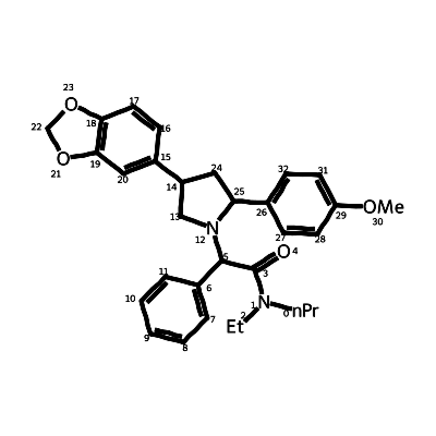 CCCN(CC)C(=O)C(c1ccccc1)N1CC(c2ccc3c(c2)OCO3)CC1c1ccc(OC)cc1